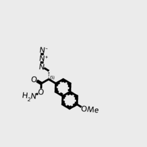 COc1ccc2cc([C@@H](CN=[N+]=[N-])C(=O)ON)ccc2c1